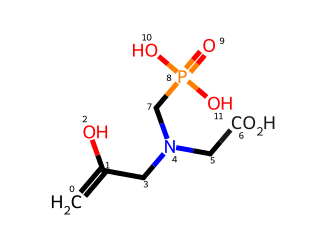 C=C(O)CN(CC(=O)O)CP(=O)(O)O